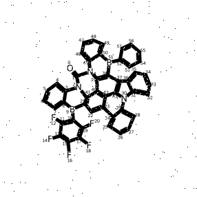 O=C1N2c3ccccc3B(c3c(F)c(F)c(F)c(F)c3F)c3cc4c5ccccc5n5c6ccccc6c6c7c(c(c32)c4c65)N1c1ccccc1B7c1ccccc1